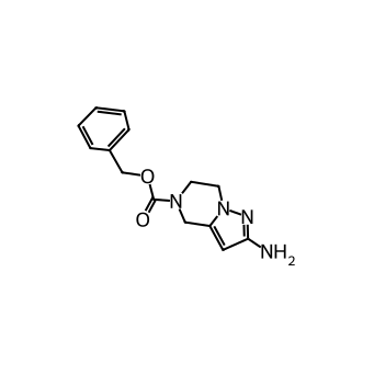 Nc1cc2n(n1)CCN(C(=O)OCc1ccccc1)C2